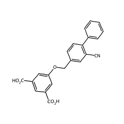 N#Cc1cc(COc2cc(C(=O)O)cc(C(=O)O)c2)ccc1-c1ccccc1